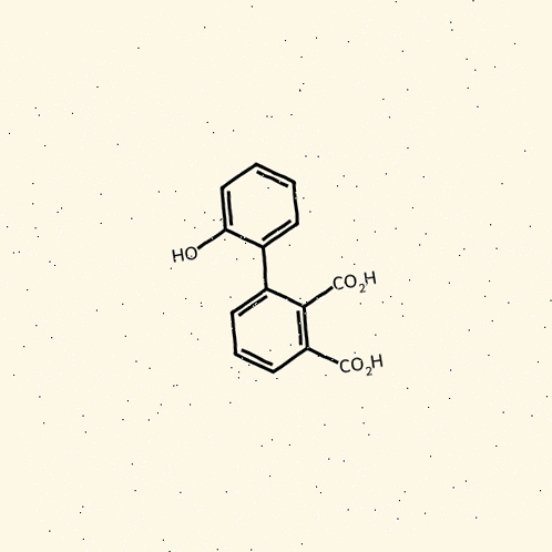 O=C(O)c1cccc(-c2ccccc2O)c1C(=O)O